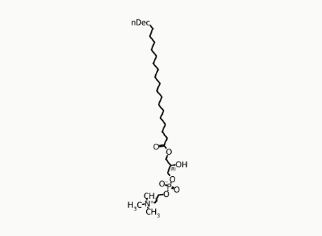 CCCCCCCCCCCCCCCCCCCCCCCCCCCC(=O)OC[C@@H](O)COP(=O)([O-])OCC[N+](C)(C)C